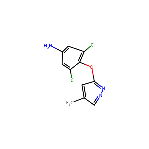 Nc1cc(Cl)c(Oc2cc(C(F)(F)F)cnn2)c(Cl)c1